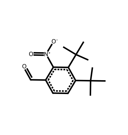 CC(C)(C)c1ccc(C=O)c([N+](=O)[O-])c1C(C)(C)C